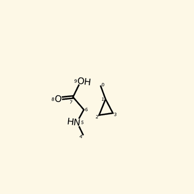 CC1CC1.CNCC(=O)O